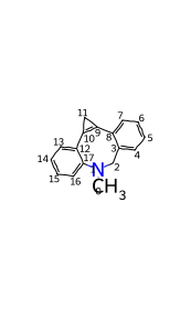 CN1Cc2ccccc2C2=C(C2)c2ccccc21